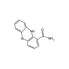 NC(=O)c1cccc2c1Nc1ccccc1[N]2